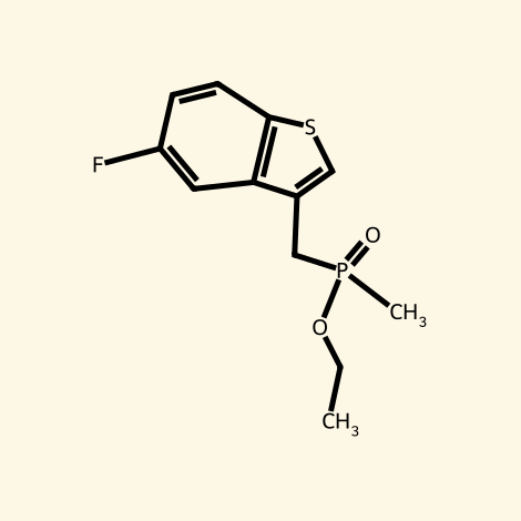 CCOP(C)(=O)Cc1csc2ccc(F)cc12